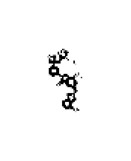 Cn1cnnc1CC1(c2cccc(N3Cc4c(cc(CN5Cc6cccc(C#N)c6C5)cc4C(F)(F)F)C3=O)c2)COC1